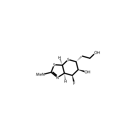 CNC1=N[C@H]2[C@@H](S1)S[C@H](CCO)[C@@H](O)[C@H]2F